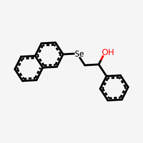 OC(C[Se]c1ccc2ccccc2c1)c1ccccc1